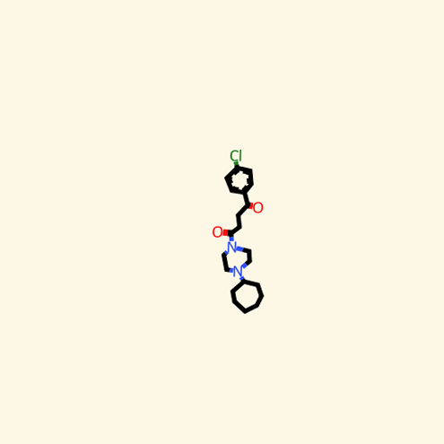 O=C(CCC(=O)N1CCN(C2CCCCCC2)CC1)c1ccc(Cl)cc1